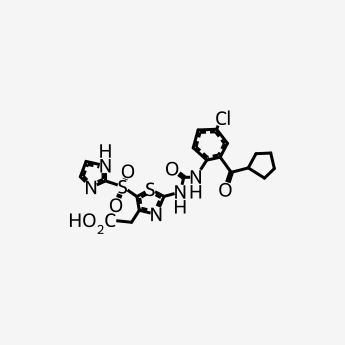 O=C(O)Cc1nc(NC(=O)Nc2ccc(Cl)cc2C(=O)C2CCCC2)sc1S(=O)(=O)c1ncc[nH]1